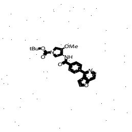 CO[C@@H]1CN(C(=O)OC(C)(C)C)C[C@H]1NC(=O)c1ccc(-c2nccc3occc23)cc1